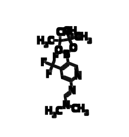 CN(C)C=Nc1cc(C(F)(F)F)c(B2OC(C)(C)C(C)(C)O2)cn1